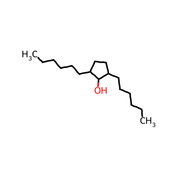 CCCCCCC1CCC(CCCCCC)C1O